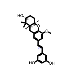 COc1cc(/C=C/c2cc(O)cc(O)c2)cc2c1O[C@]1(C)CC[C@@H](O)C(C)(C)[C@H]1C2